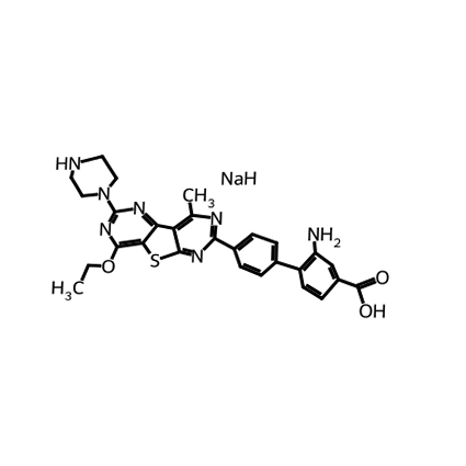 CCOc1nc(N2CCNCC2)nc2c1sc1nc(-c3ccc(-c4ccc(C(=O)O)cc4N)cc3)nc(C)c12.[NaH]